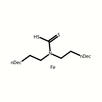 CCCCCCCCCCCCN(CCCCCCCCCCCC)C(=S)S.[Fe]